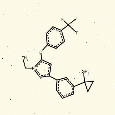 CCn1nc(-c2cccc(C3(N)CC3)c2)cc1Oc1ccc(C(F)(F)F)cc1